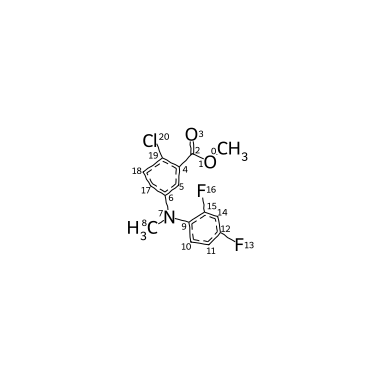 COC(=O)c1cc(N(C)c2ccc(F)cc2F)ccc1Cl